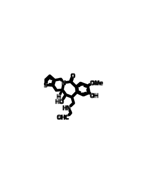 COc1cc2c(cc1O)C(CNCC=O)C(O)[C@@H]1Cc3sccc3CN1C2=O